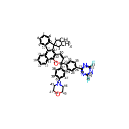 CCC1(CC)c2ccccc2-c2c1c1c(c3ccccc23)OC(c2ccc(-c3nc(F)nc(F)n3)cc2)(c2ccc(N3CCOCC3)cc2)C=C1